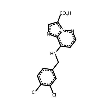 O=C(O)c1cnc2c(NCc3ccc(Cl)c(Cl)c3)ccnn12